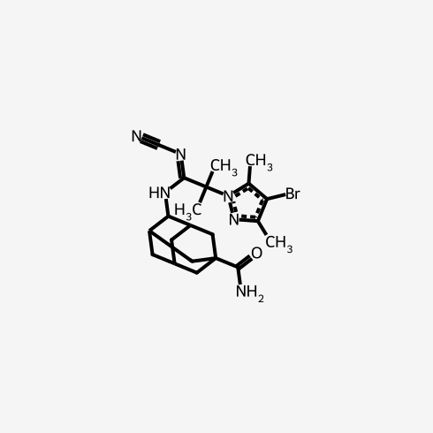 Cc1nn(C(C)(C)/C(=N/C#N)NC2C3CC4CC2CC(C(N)=O)(C4)C3)c(C)c1Br